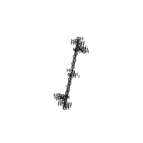 N[C@@H](CC(=O)NCCOCCOCCOCCOCCOCCOCCN(C[C@H](O)[C@@H](O)[C@H](O)[C@H](O)CO)C[C@H](O)[C@@H](O)[C@H](O)[C@H](O)CO)C(=O)NCCOCCOCCOCCOCCOCCOCCN(C[C@H](O)[C@@H](O)[C@H](O)[C@H](O)CO)C[C@H](O)[C@@H](O)[C@H](O)[C@H](O)CO